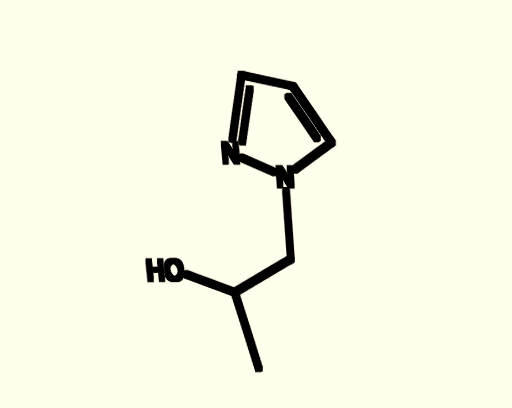 CC(O)Cn1cccn1